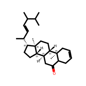 CC(C)C(C)C=CC(C)[C@H]1CC[C@H]2[C@@H]3CC(=O)C4CC=CC[C@]4(C)[C@H]3CC[C@]12C